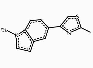 CCn1ccc2cc(-c3csc(C)n3)ccc21